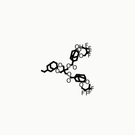 CCC1CC2CCC3(OCC(COC(=O)C45CC6CC(C4)C4(OCC(F)(F)C(F)(F)CO4)C(C6)C5)(COC(=O)C45CC6CC(C4)C4(OCC(F)(F)C(F)(F)CO4)C(O)(C6)C5)CO3)C(C1)C2